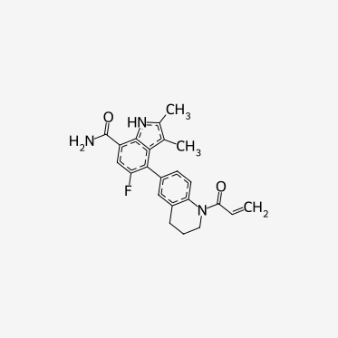 C=CC(=O)N1CCCc2cc(-c3c(F)cc(C(N)=O)c4[nH]c(C)c(C)c34)ccc21